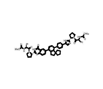 COC(=O)NC(C(=O)N1CCC[C@H]1c1ncc(-c2ccc(-c3ccc(-c4ccc5nc([C@@H]6CCCN6C(=O)[C@@H](NC(=O)OC)C(C)C)[nH]c(=O)c5c4)c4c3C3(CCCC3)CC4)cc2)[nH]1)C(C)C